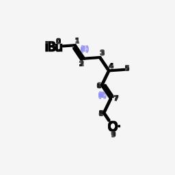 CCC(C)/C=C/CC(C)/C=C/C[O]